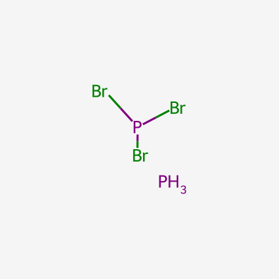 BrP(Br)Br.P